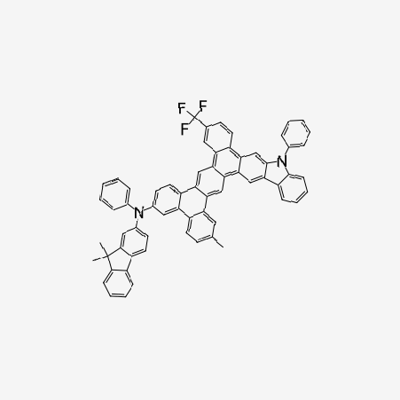 Cc1ccc2c(c1)c1cc3c(cc1c1ccc(N(c4ccccc4)c4ccc5c(c4)C(C)(C)c4ccccc4-5)cc21)c1cc(C(F)(F)F)ccc1c1cc2c(cc31)c1ccccc1n2-c1ccccc1